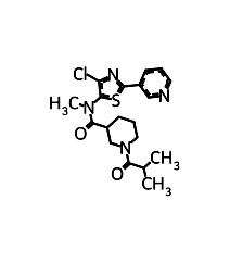 CC(C)C(=O)N1CCCC(C(=O)N(C)c2sc(-c3cccnc3)nc2Cl)C1